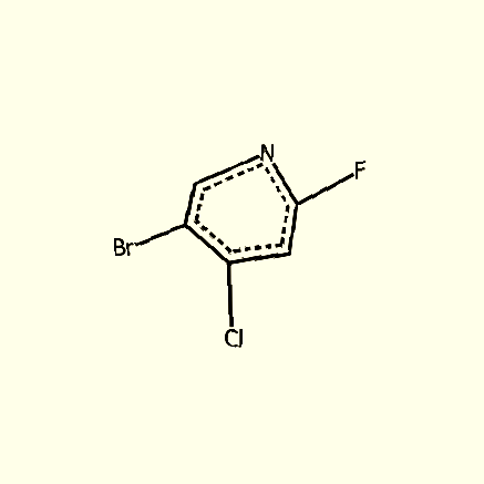 Fc1cc(Cl)c(Br)cn1